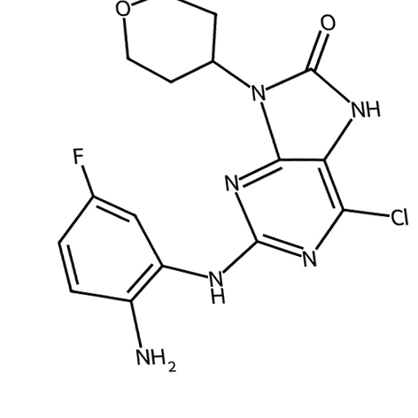 Nc1ccc(F)cc1Nc1nc(Cl)c2[nH]c(=O)n(C3CCOCC3)c2n1